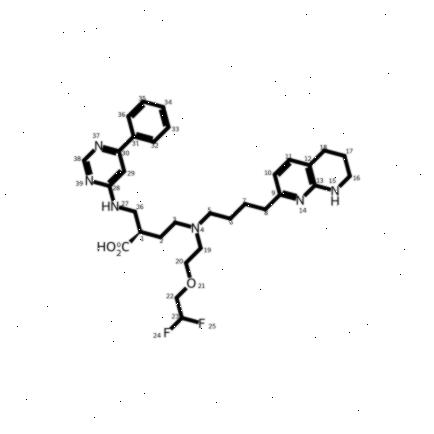 O=C(O)[C@H](CCN(CCCCc1ccc2c(n1)NCCC2)CCOCC(F)F)CNc1cc(-c2ccccc2)ncn1